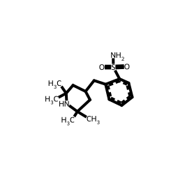 CC1(C)CC(Cc2ccccc2S(N)(=O)=O)CC(C)(C)N1